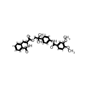 COc1ccc(C(=O)Nc2ccc(C(C)(C)COC(=O)c3cc4ccccc4c(=O)[nH]3)cc2)cc1OC